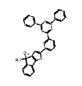 CC1(C)c2ccccc2-c2oc(-c3cccc(-c4nc(-c5ccccc5)nc(-c5ccccc5)n4)c3)cc21